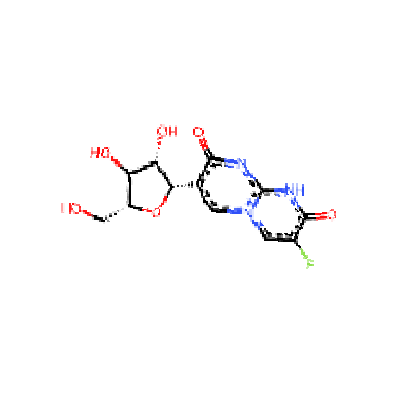 O=c1nc2[nH]c(=O)c(F)cn2cc1[C@@H]1O[C@H](CO)C(O)[C@@H]1O